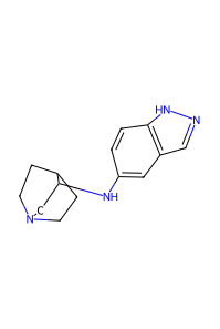 c1cc2[nH]ncc2cc1NC1CN2CCC1CC2